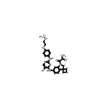 COCCOc1ccc(Nc2ncc(F)c(Nc3ccc4c(c3)N(C(=O)C(C)Cl)CC43CCC3)n2)cc1